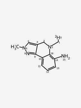 [2H]CN1Cc2cn(C)nc2-c2cccc(N)c21